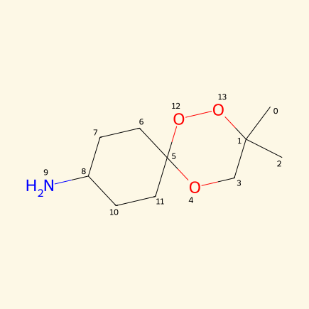 CC1(C)COC2(CCC(N)CC2)OO1